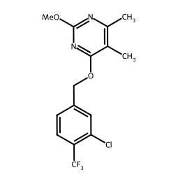 COc1nc(C)c(C)c(OCc2ccc(C(F)(F)F)c(Cl)c2)n1